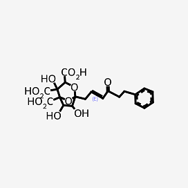 O=C(/C=C/CC12OC(C(=O)O)C(O)(C(=O)O)C(C(=O)O)(O1)C(O)C2O)CCc1ccccc1